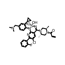 C=CC(=O)N1C[C@H](C)N(C2=NS(O)(O)N(c3ccc(CN(C)C)cc3C3CC3)c3nc(-c4ccccc4F)c(Cl)cc32)C[C@H]1C